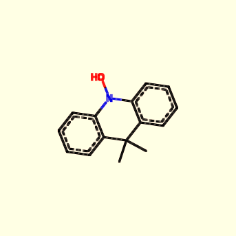 CC1(C)c2ccccc2N(O)c2ccccc21